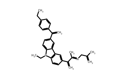 C=C(C)C/N=C(\C)C(=C)c1ccc2c(c1)c1cc(C(=C)c3ccc(CC)cc3)ccc1n2CC